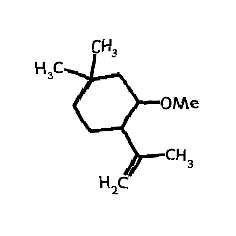 C=C(C)C1CCC(C)(C)CC1OC